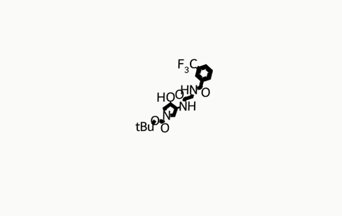 CC(C)(C)OC(=O)N1C[C@H](NC(=O)CNC(=O)c2cccc(C(F)(F)F)c2)[C@@H](O)C1